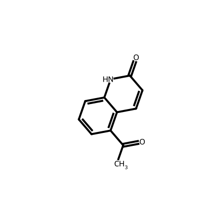 CC(=O)c1cccc2[nH]c(=O)ccc12